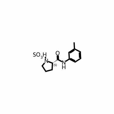 Cc1cccc(NC(=O)[C@@H]2CCCN2S(=O)(=O)O)c1